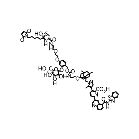 Cc1c(-c2ccc(-c3cnc4cccc(C(=O)Nc5nc6ccccc6s5)c4c3)nc2C(=O)O)cnn1CC12CC3(C)CC(C)(C1)CC(OCCN(C)C(=O)OCc1ccc(OCCOCCNC(=O)[C@H](CS(=O)(=O)O)NC(=O)CCCCCN4C(=O)C=CC4=O)cc1O[C@@H]1O[C@H](C(=O)O)[C@@H](O)[C@H](O)[C@H]1O)(C3)C2